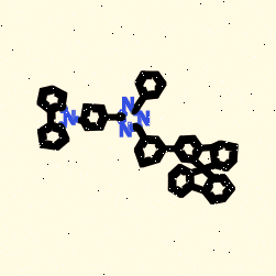 c1ccc(-c2nc(-c3ccc(-n4c5ccccc5c5ccccc54)cc3)nc(-c3cccc(-c4ccc5c(c4)C4(c6ccccc6-c6ccccc64)c4ccccc4-5)c3)n2)cc1